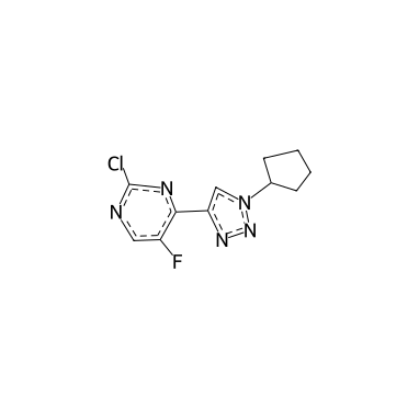 Fc1cnc(Cl)nc1-c1cn(C2CCCC2)nn1